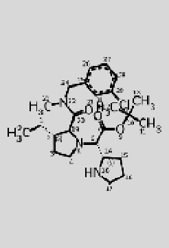 CC[C@H]1CCN(C(C(=O)OC(C)(C)C)[C@@H]2CCCN2)C1C(=O)N(C)Cc1cccc(Cl)c1